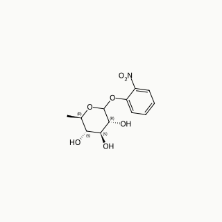 C[C@H]1OC(Oc2ccccc2[N+](=O)[O-])[C@H](O)[C@@H](O)[C@@H]1O